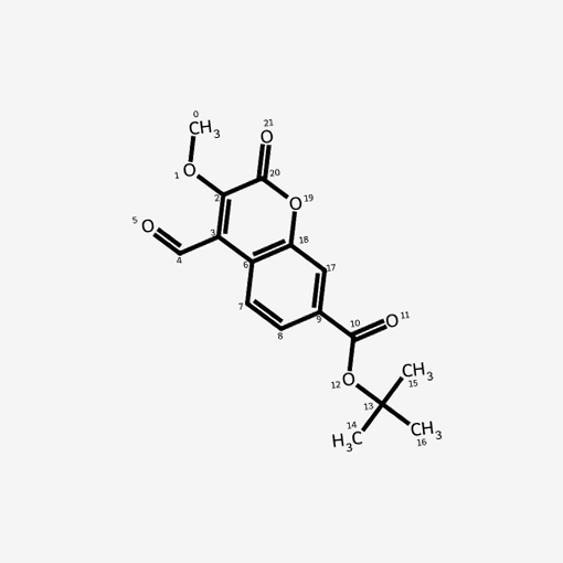 COc1c(C=O)c2ccc(C(=O)OC(C)(C)C)cc2oc1=O